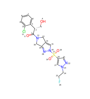 O=C([C@@H](CO)c1ccccc1Cl)N1Cc2cn(S(=O)(=O)c3cnn(CCF)c3)nc2C1